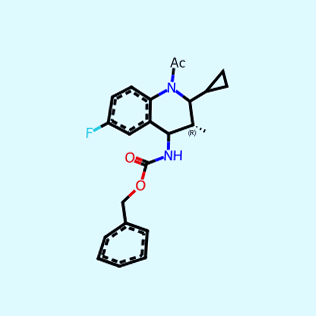 CC(=O)N1c2ccc(F)cc2C(NC(=O)OCc2ccccc2)[C@@H](C)C1C1CC1